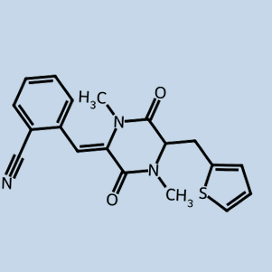 CN1C(=O)C(Cc2cccs2)N(C)C(=O)C1=Cc1ccccc1C#N